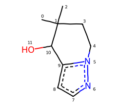 CC1(C)CCn2nccc2C1O